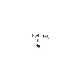 [AlH3].[Hg].[InH3].[Zr]